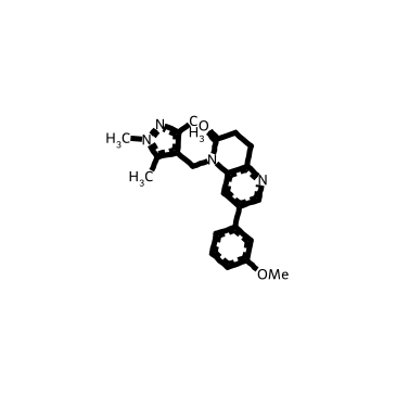 COc1cccc(-c2cnc3c(c2)N(Cc2c(C)nn(C)c2C)C(=O)CC3)c1